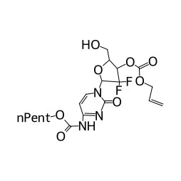 C=CCOC(=O)OC1C(CO)OC(n2ccc(NC(=O)OCCCCC)nc2=O)C1(F)F